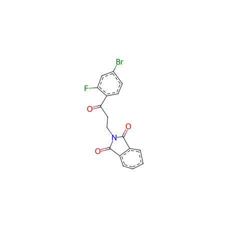 O=C(CCN1C(=O)c2ccccc2C1=O)c1ccc(Br)cc1F